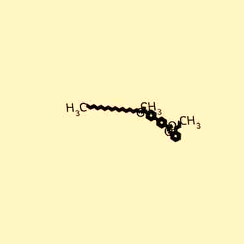 CCCCCCCCCCCCCCCCOC(C)c1ccc(-c2ccc(C(=O)Oc3ccccc3CCCC)cc2)cc1